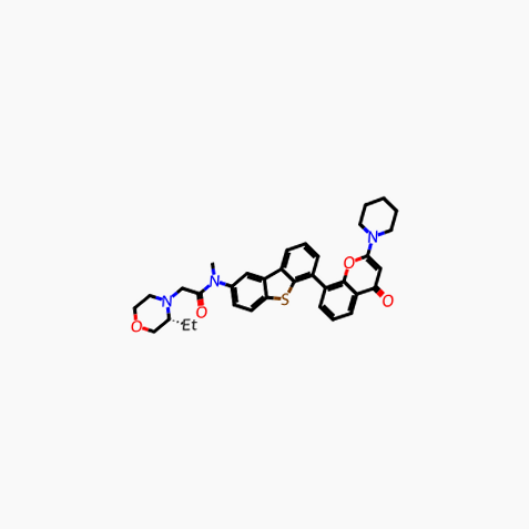 CC[C@@H]1COCCN1CC(=O)N(C)c1ccc2sc3c(-c4cccc5c(=O)cc(N6CCCCC6)oc45)cccc3c2c1